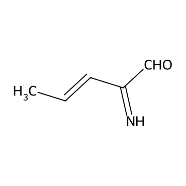 CC=CC(=N)C=O